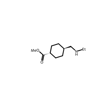 CCNC[C@H]1CC[C@H](C(=O)OC)CC1